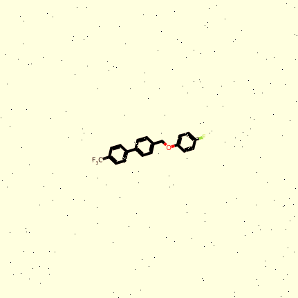 Fc1ccc(OCc2ccc(-c3ccc(C(F)(F)F)cc3)cc2)cc1